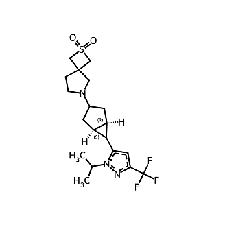 CC(C)n1nc(C(F)(F)F)cc1C1[C@H]2CC(N3CCC4(C3)CS(=O)(=O)C4)C[C@@H]12